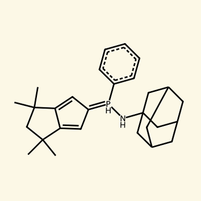 CC1(C)CC(C)(C)C2=CC(=[PH](NC34CC5CC(CC(C5)C3)C4)c3ccccc3)C=C21